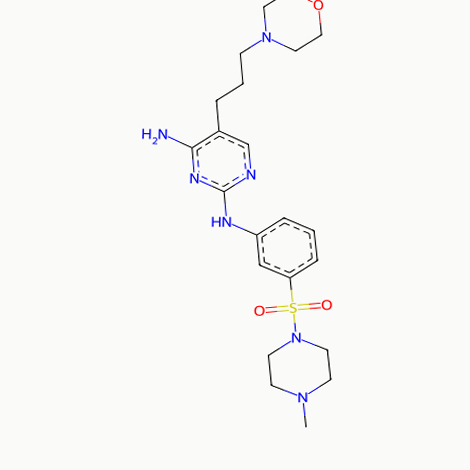 CN1CCN(S(=O)(=O)c2cccc(Nc3ncc(CCCN4CCOCC4)c(N)n3)c2)CC1